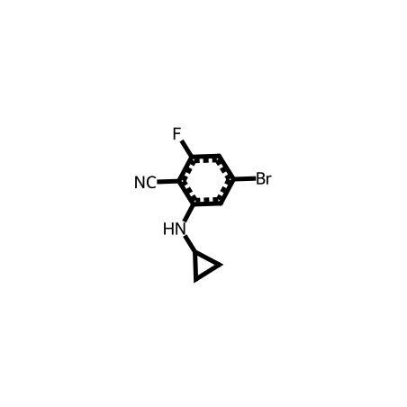 N#Cc1c(F)cc(Br)cc1NC1CC1